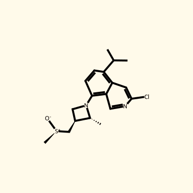 CC(C)c1ccc(N2C[C@H](C[S@@+](C)[O-])[C@H]2C)c2cnc(Cl)cc12